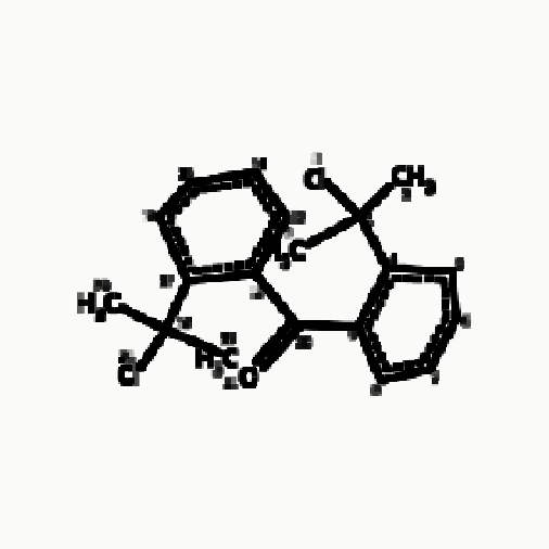 CC(C)(Cl)c1ccccc1C(=O)c1ccccc1C(C)(C)Cl